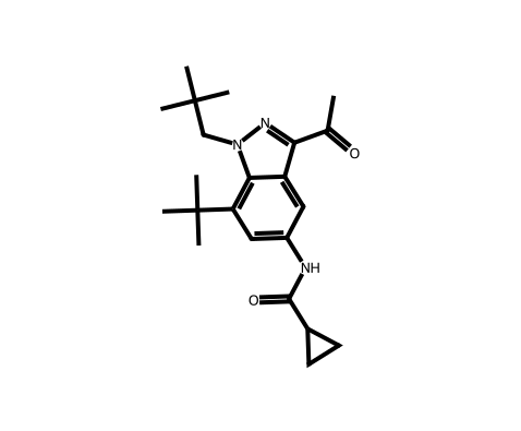 CC(=O)c1nn(CC(C)(C)C)c2c(C(C)(C)C)cc(NC(=O)C3CC3)cc12